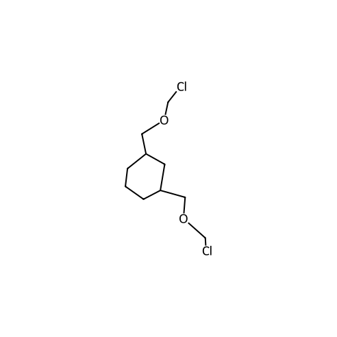 ClCOCC1CCCC(COCCl)C1